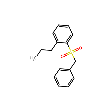 CCCc1ccccc1S(=O)(=O)Cc1ccccc1